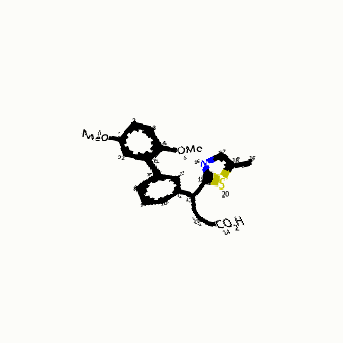 COc1ccc(OC)c(-c2cccc(C(CC(=O)O)c3ncc(C)s3)c2)c1